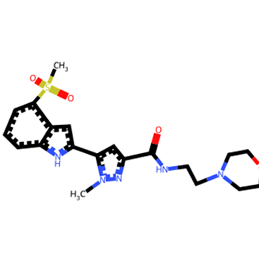 Cn1nc(C(=O)NCCN2CCOCC2)cc1-c1cc2c(S(C)(=O)=O)cccc2[nH]1